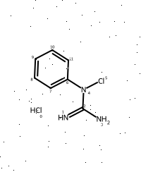 Cl.N=C(N)N(Cl)c1ccccc1